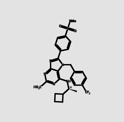 CNS(=O)(=O)c1ccc(-c2nc3nc(C(=O)O)nc(N[C@H](C)C4CCC4)c3n2Cc2ccc(C(F)(F)F)cc2)cc1